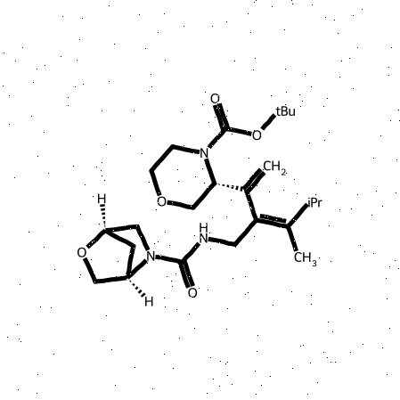 C=C(C(CNC(=O)N1C[C@H]2C[C@@H]1CO2)=C(C)C(C)C)[C@@H]1COCCN1C(=O)OC(C)(C)C